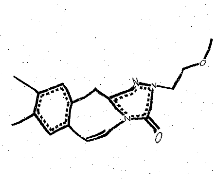 COCCn1nc2n(c1=O)C=Cc1cc(C)c(C)cc1C2